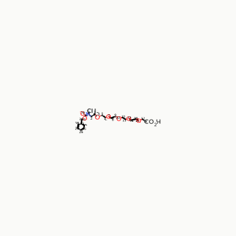 CN(CCOCCOCCOCCOCCOCC(=O)O)C(=O)OCc1ccccc1